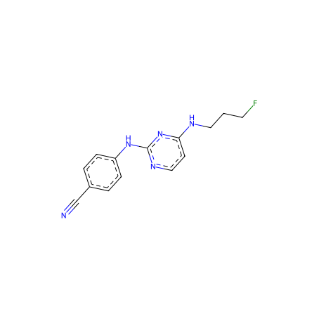 N#Cc1ccc(Nc2nccc(NCCCF)n2)cc1